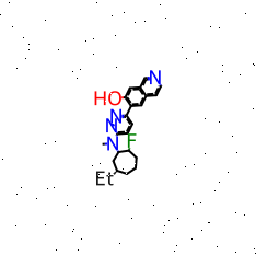 CC[C@@H]1CCC[C@H](F)[C@H](N(C)c2ccc(-c3cc4ccncc4cc3O)nn2)C1